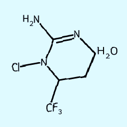 NC1=NCCC(C(F)(F)F)N1Cl.O